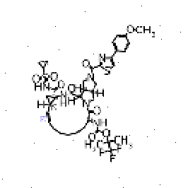 COc1ccc(-c2csc(C(=O)N3C[C@H]4CN5C(=O)[C@@H](NC(=O)OC(C)(C)C(F)(F)F)CCCCC/C=C\[C@@H]6C[C@@]6(C(=O)NS(=O)(=O)C6CC6)NC(=O)[C@@H]5[C@H]4C3)n2)cc1